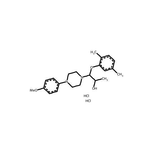 COc1ccc(N2CCN(C(Oc3cc(C)ccc3C)C(C)O)CC2)cc1.Cl.Cl